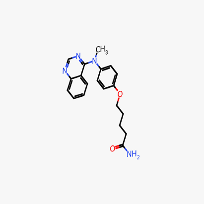 CN(c1ccc(OCCCCC(N)=O)cc1)c1ncnc2ccccc12